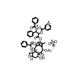 CC(=O)O[C@H]1C(=O)C2(C)C([C@H](OC(=O)c3ccccc3)[C@]3(O)C[C@H](OC(=O)C(OC(=O)c4ccc[n+](C)c4)C(NC(=O)c4ccccc4)c4ccccc4)C(C)=C1C3(C)C)[C@]1(OC(C)=O)CO[C@@H]1C[C@@H]2O.CS(=O)(=O)[O-]